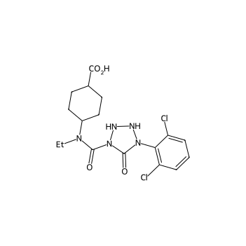 CCN(C(=O)N1NNN(c2c(Cl)cccc2Cl)C1=O)C1CCC(C(=O)O)CC1